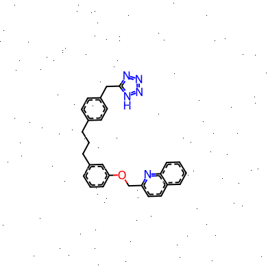 c1cc(CCCc2ccc(Cc3nnn[nH]3)cc2)cc(OCc2ccc3ccccc3n2)c1